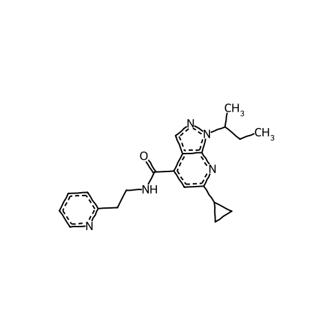 CCC(C)n1ncc2c(C(=O)NCCc3ccccn3)cc(C3CC3)nc21